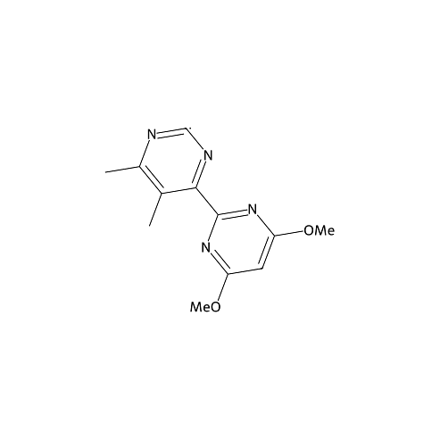 COc1cc(OC)nc(-c2n[c]nc(C)c2C)n1